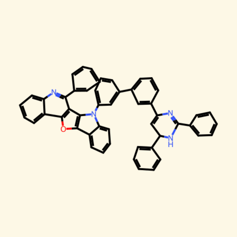 C1=C(c2cccc(-c3cccc(-n4c5ccccc5c5oc6c7ccccc7nc(-c7ccccc7)c6c54)c3)c2)N=C(c2ccccc2)NC1c1ccccc1